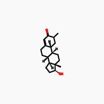 CC1C[C@H]2C(=CC1=O)CC[C@@H]1[C@@H]2CC[C@]2(C)[C@H](O)CC[C@@H]12